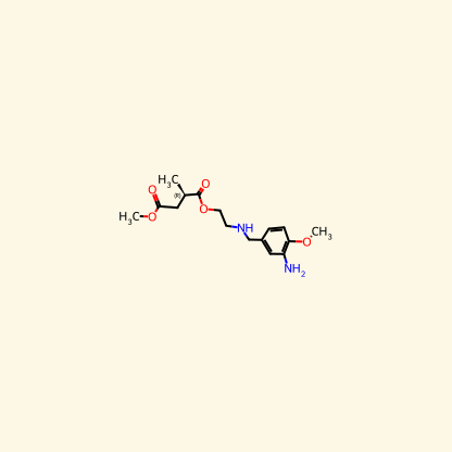 COC(=O)C[C@@H](C)C(=O)OCCNCc1ccc(OC)c(N)c1